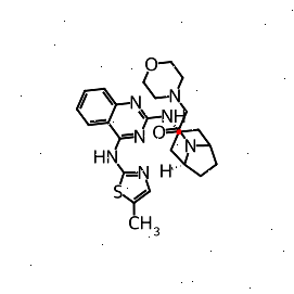 Cc1cnc(Nc2nc(N[C@@H]3CC4CC[C@@H](C3)N4C(=O)CN3CCOCC3)nc3ccccc23)s1